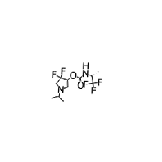 CC(C)N1C[C@H](OC(=O)N[C@H](C)C(F)(F)F)C(F)(F)C1